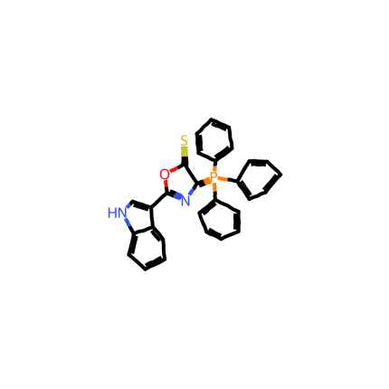 S=C1OC(c2c[nH]c3ccccc23)=NC1=P(c1ccccc1)(c1ccccc1)c1ccccc1